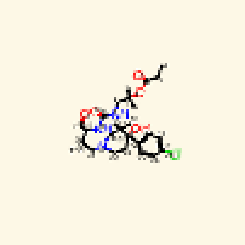 CCC(=O)OC(C)(C)CNC(=O)NC(C=O)[C@@H](C)CN1CC[C@](O)(c2ccc(Cl)cc2)C(C)(C)C1